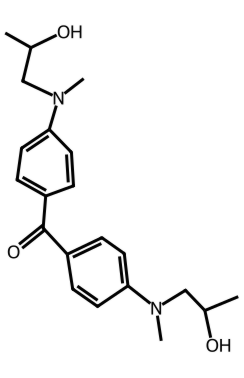 CC(O)CN(C)c1ccc(C(=O)c2ccc(N(C)CC(C)O)cc2)cc1